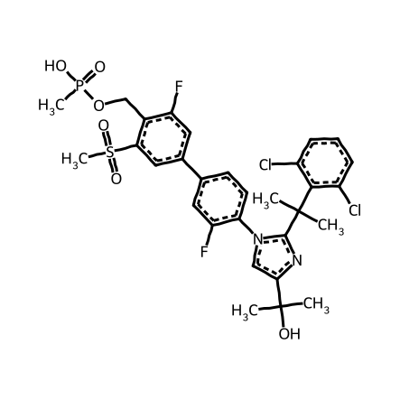 CC(C)(O)c1cn(-c2ccc(-c3cc(F)c(COP(C)(=O)O)c(S(C)(=O)=O)c3)cc2F)c(C(C)(C)c2c(Cl)cccc2Cl)n1